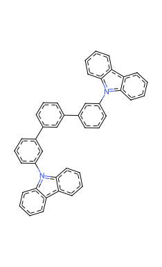 c1cc(-c2cccc(-n3c4ccccc4c4ccccc43)c2)cc(-c2cccc(-n3c4ccccc4c4ccccc43)c2)c1